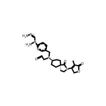 CC1=C(N2CC[C@]3(CC[C@H](N(CC=O)Cc4ccc(N(N)/C=N\N)nc4)CC3)C2=O)COC1=O